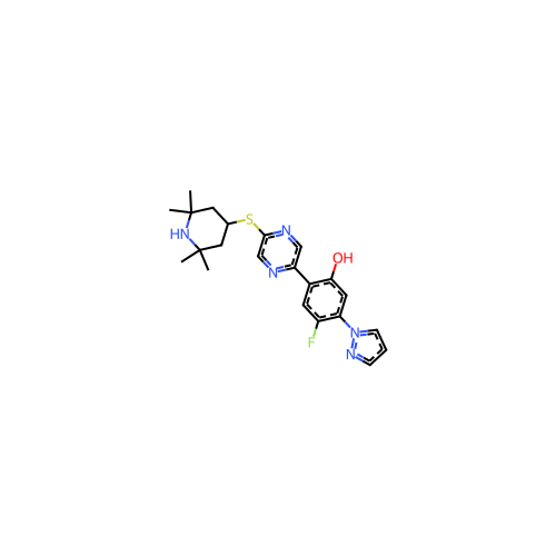 CC1(C)CC(Sc2cnc(-c3cc(F)c(-n4cccn4)cc3O)cn2)CC(C)(C)N1